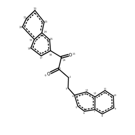 O=C(CCc1ccc2ccccc2c1)C(=O)c1ccc2ccccc2c1